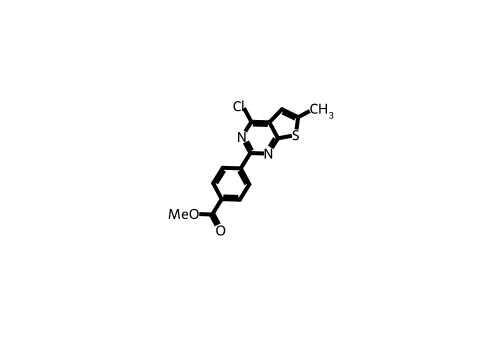 COC(=O)c1ccc(-c2nc(Cl)c3cc(C)sc3n2)cc1